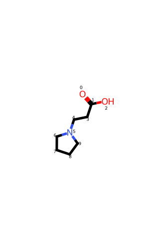 O=C(O)CCN1CCCC1